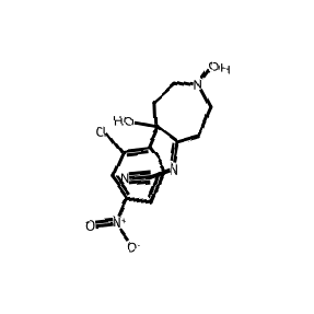 N#CN=C1CCN(O)CCC1(O)c1ccc([N+](=O)[O-])cc1Cl